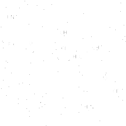 CC(C)(c1ccc(Oc2ccc(N)cc2C(F)(F)F)cc1)c1cccc(C(C)(C)c2ccc(Oc3ccc(N)cc3C(F)(F)F)cc2)c1